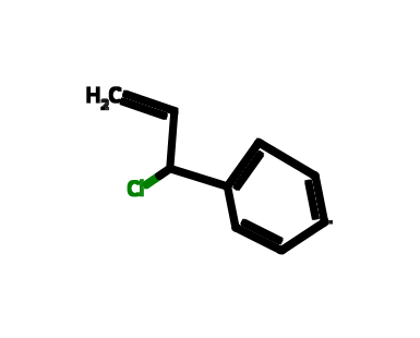 C=CC(Cl)c1cc[c]cc1